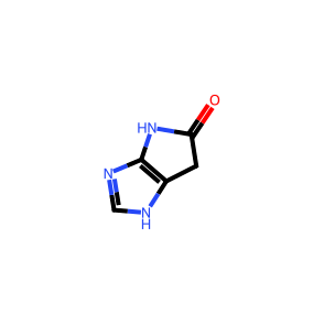 O=C1Cc2[nH]cnc2N1